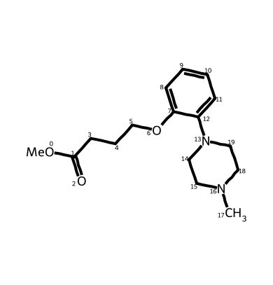 COC(=O)CCCOc1ccccc1N1CCN(C)CC1